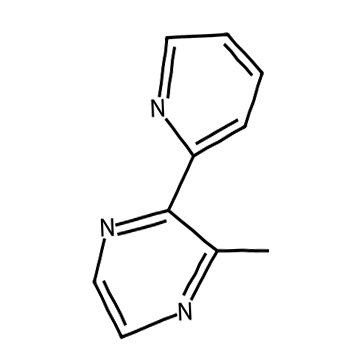 Cc1nccnc1-c1ccccn1